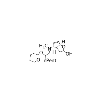 CCCCCC(CN(C)[C@@H]1C=C[C@H]2OC(O)C[C@@H]12)OC1CCCCO1